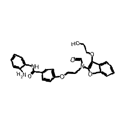 Nc1ccccc1NC(=O)c1ccc(OCCN(C=O)c2oc3ccccc3c2OCCO)cc1